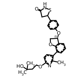 Cc1nc(OCCC(C)(C)O)ccc1-c1cccc2c1OC[C@H]2Oc1ccc(C2CC(=O)NS2)cc1